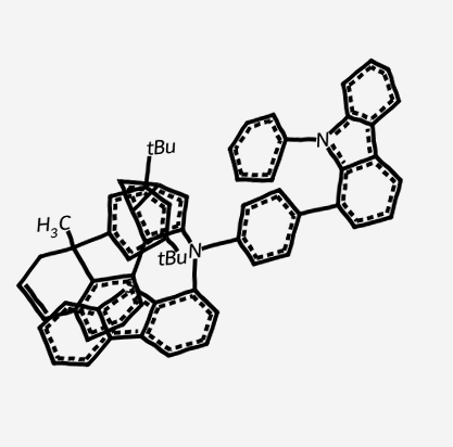 CC(C)(C)c1cc(C(C)(C)C)cc(C2(C)CC=Cc3cccc(-c4c5cc-5cc4N(c4ccc(-c5cccc6c7ccccc7n(-c7ccccc7)c56)cc4)c4cccc5c4sc4ccccc45)c32)c1